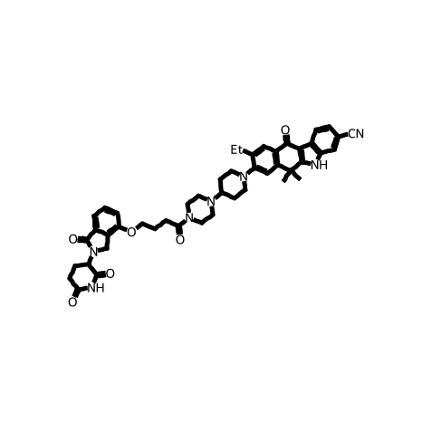 CCc1cc2c(cc1N1CCC(N3CCN(C(=O)CCCOc4cccc5c4CN(C4CCC(=O)NC4=O)C5=O)CC3)CC1)C(C)(C)c1[nH]c3cc(C#N)ccc3c1C2=O